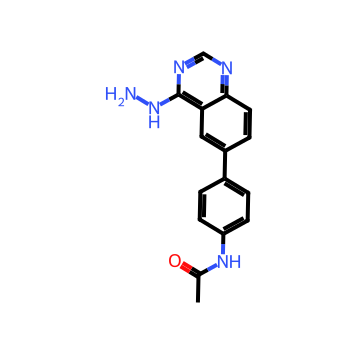 CC(=O)Nc1ccc(-c2ccc3ncnc(NN)c3c2)cc1